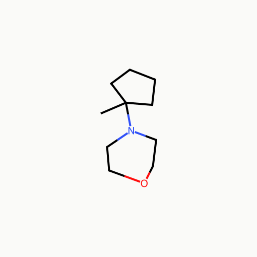 CC1(N2CCOCC2)CCCC1